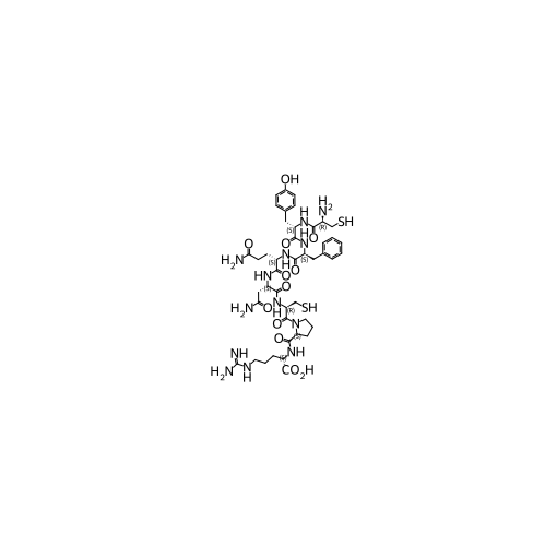 N=C(N)NCCC[C@H](NC(=O)[C@@H]1CCCN1C(=O)[C@H](CS)NC(=O)[C@H](CC(N)=O)NC(=O)[C@H](CCC(N)=O)NC(=O)[C@H](Cc1ccccc1)NC(=O)[C@H](Cc1ccc(O)cc1)NC(=O)[C@@H](N)CS)C(=O)O